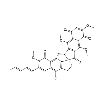 CC=CC=Cc1cc2c(Cl)c3c(cc2c(=O)n1OC)[C@@]1(CC3)C(=O)c2c(OC)c3c(c(OC)c2C1=O)C(=O)C(OC)=CC3=O